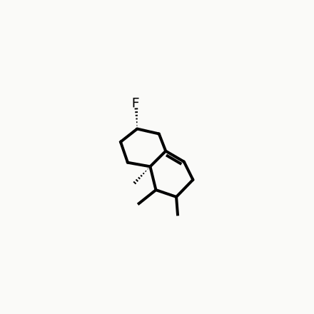 CC1CC=C2C[C@@H](F)CC[C@]2(C)C1C